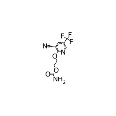 N#Cc1cc(C(F)(F)F)cnc1OCCOC(N)=O